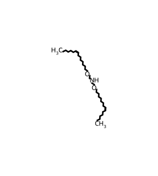 CCCCCC/C=C\CCCCCCCCOCCNCCOCCCCCCCC/C=C\CCCCCC